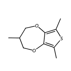 Cc1sc(C)c2c1OCC(C)CO2